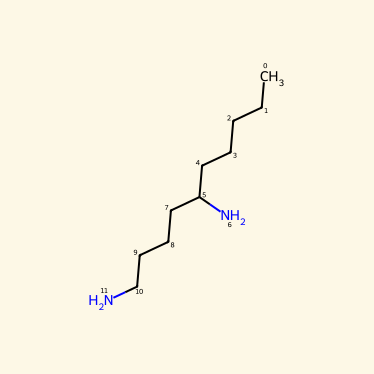 CCCCCC(N)CCCCN